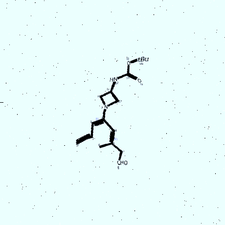 C=C/C=C(\C=C(/C)CC=O)N1CC(NC(=O)OC(C)(C)C)C1